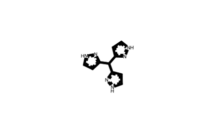 c1cc(C(c2cc[nH]n2)c2cc[nH]n2)n[nH]1